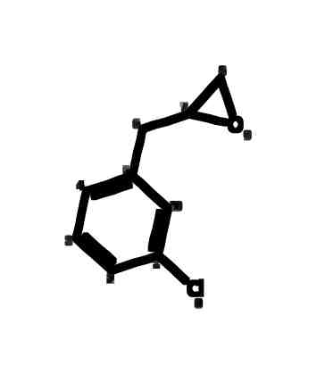 Clc1cccc(CC2CO2)c1